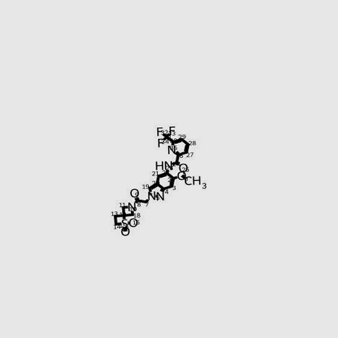 COc1cc2nn(CC(=O)N3CC4(CCS4(=O)=O)C3)cc2cc1NC(=O)c1cccc(C(F)(F)F)n1